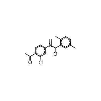 CC(=O)c1ccc(NC(=O)c2cc(C)ccc2C)cc1Cl